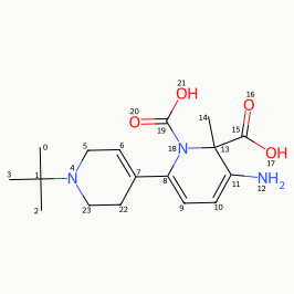 CC(C)(C)N1CC=C(C2=CC=C(N)C(C)(C(=O)O)N2C(=O)O)CC1